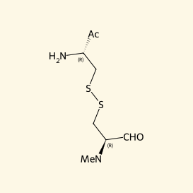 CN[C@H](C=O)CSSC[C@H](N)C(C)=O